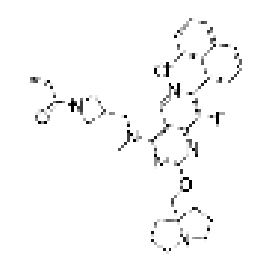 C=CC(=O)N1CC(CN(C)c2nc(OCC34CCCN3CCC4)nc3c(F)c(-c4cccc5cccc(Cl)c45)ncc23)C1